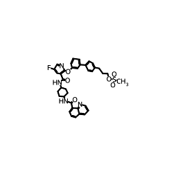 CS(=O)(=O)OCCCc1ccc(-c2cccc(Oc3ncc(F)cc3C(=O)NC3CCC(NC(=O)c4cccc5cccnc45)CC3)c2)cc1